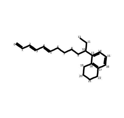 C=C/C=C/C=C/CCCCC(CC)c1cccc2c1CCCC2